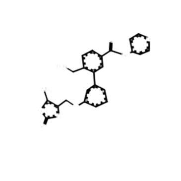 Cc1oc(=O)oc1COc1cccc(-c2cc(C(=O)Nc3ccncc3)ccc2CN)c1